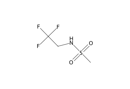 CS(=O)(=O)NCC(F)(F)F